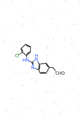 O=CCc1ccc2nc(Nc3ccccc3Cl)[nH]c2c1